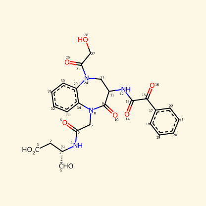 O=C[C@H](CC(=O)O)NC(=O)CN1C(=O)C(NC(=O)C(=O)c2ccccc2)CN(C(=O)CO)c2ccccc21